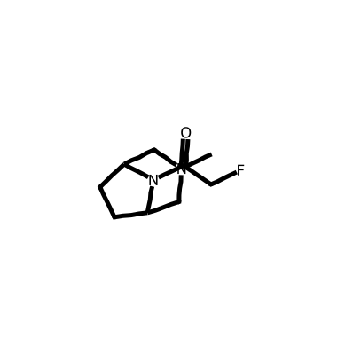 CN1CC2CCC(C1)N2C(=O)CF